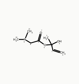 C=CC(C)(O)OC(=O)CN(C)C